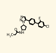 CCC(=O)N[C@H]1CC[C@@H](n2nncc2-c2ccc(-c3ccc(Cl)cc3F)cc2)C1